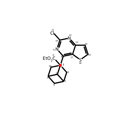 CCOC(=O)CC1C2CC1CN(c1nc(Cl)nc3ccsc13)C2